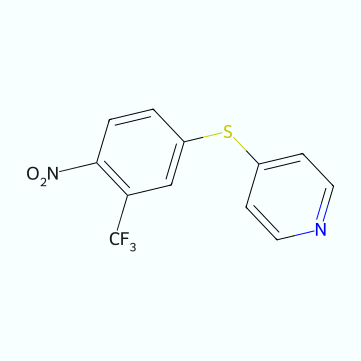 O=[N+]([O-])c1ccc(Sc2ccncc2)cc1C(F)(F)F